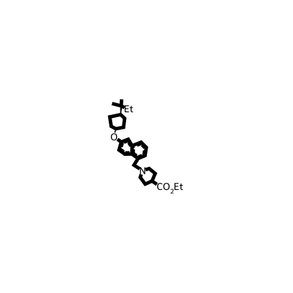 CCOC(=O)C1CCN(Cc2cccc3cc(O[C@H]4CC[C@H](C(C)(C)CC)CC4)ccc23)CC1